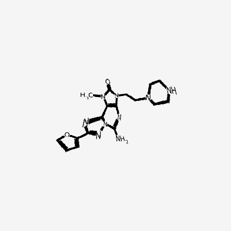 Cn1c(=O)n(CCN2CCNCC2)c2nc(N)n3nc(-c4ccco4)nc3c21